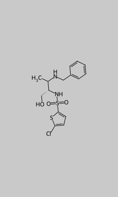 CC(NCc1ccccc1)[C@@H](CO)NS(=O)(=O)c1ccc(Cl)s1